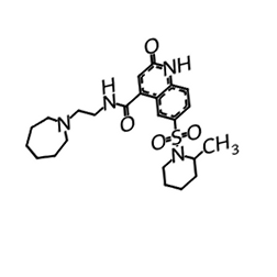 CC1CCCCN1S(=O)(=O)c1ccc2[nH]c(=O)cc(C(=O)NCCN3CCCCCC3)c2c1